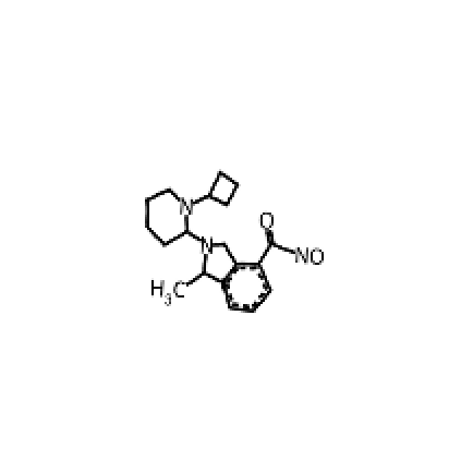 CC1c2cccc(C(=O)N=O)c2CN1C1CCCCN1C1CCC1